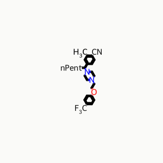 CCCCCC(c1ccc(C#N)c(C)c1)N1CCN(CCOc2ccc(C(F)(F)F)cc2)CC1